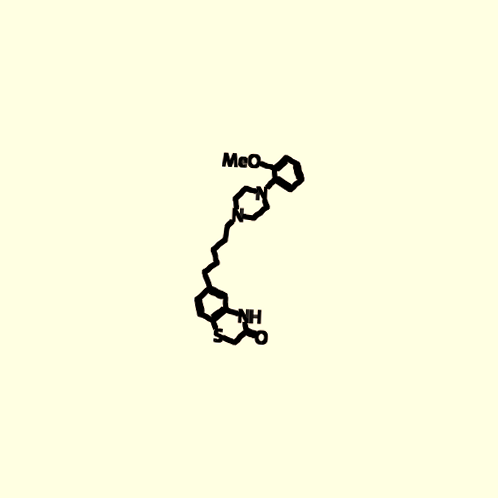 COc1ccccc1N1CCN(CCCCCc2ccc3c(c2)NC(=O)CS3)CC1